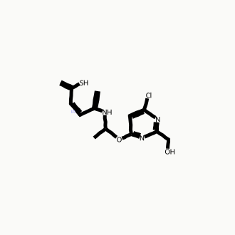 C=C(S)/C=C\C(=C)NC(C)Oc1cc(Cl)nc(CO)n1